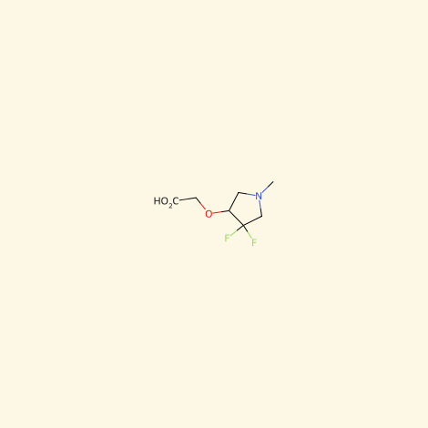 CN1CC(OCC(=O)O)C(F)(F)C1